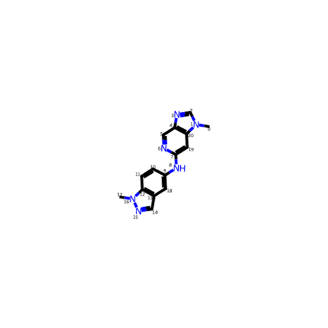 Cn1cnc2cnc(Nc3ccc4c(cnn4C)c3)cc21